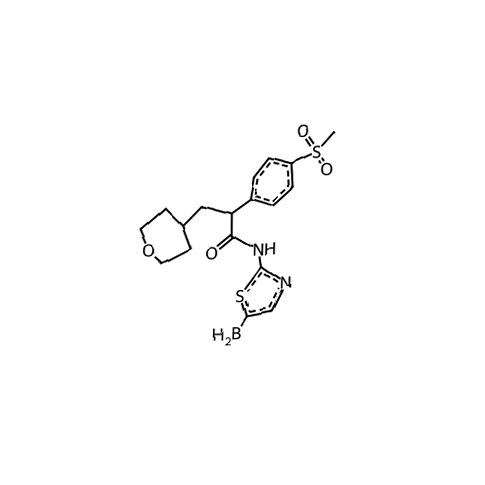 Bc1cnc(NC(=O)C(CC2CCOCC2)c2ccc(S(C)(=O)=O)cc2)s1